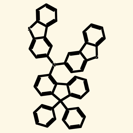 c1ccc(C2(c3ccccc3)c3ccccc3-c3c(N(c4ccc5sc6ccccc6c5c4)c4ccc5sc6ccccc6c5c4)cccc32)cc1